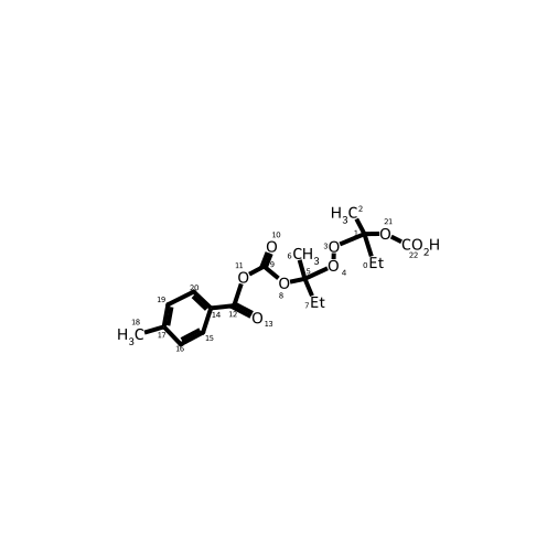 CCC(C)(OOC(C)(CC)OC(=O)OC(=O)c1ccc(C)cc1)OC(=O)O